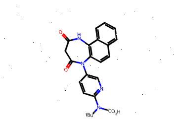 CC(C)(C)N(C(=O)O)c1ccc(N2C(=O)CC(=O)Nc3c2ccc2ccccc32)cn1